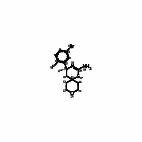 C[C@@]1(c2cc(Br)ccc2F)CC2(CCOCC2)SC(N)=N1